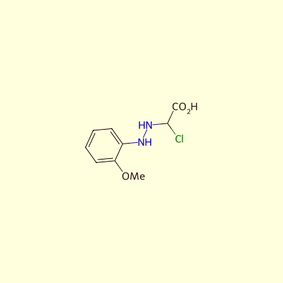 COc1ccccc1NNC(Cl)C(=O)O